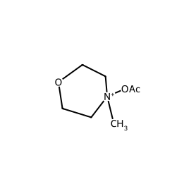 CC(=O)O[N+]1(C)CCOCC1